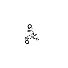 CN(C)[C@]1(c2ccccc2)CC[C@]2(CC1)CN(CC(O)Nc1cccnn1)C(=O)N2CC1CCC1